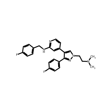 CN(C)CCn1cc(-c2ccnc(NCc3ccc(F)cc3)c2)c(-c2ccc(F)cc2)n1